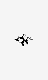 C=C(OCC)c1c(C)nc(C)nc1Cl